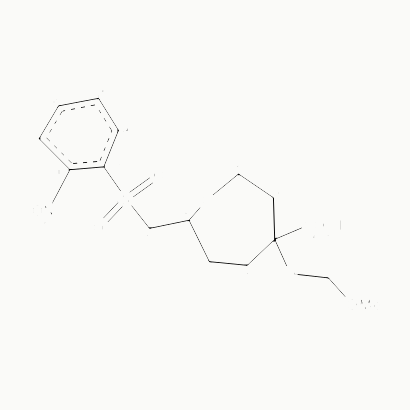 COCOC1(C(=O)O)CCCC(CS(=O)(=O)c2ccccc2N=O)CC1